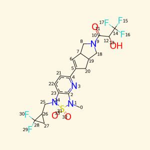 CN1c2nc(C3=CC4CN(C(=O)C(O)C(F)(F)F)CC4C3)ccc2N(CC2CC2(F)F)S1(=O)=O